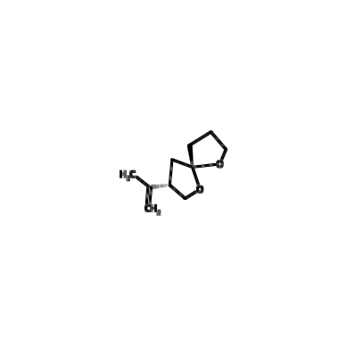 C=C(C)[C@H]1CO[C@]2(CCCO2)C1